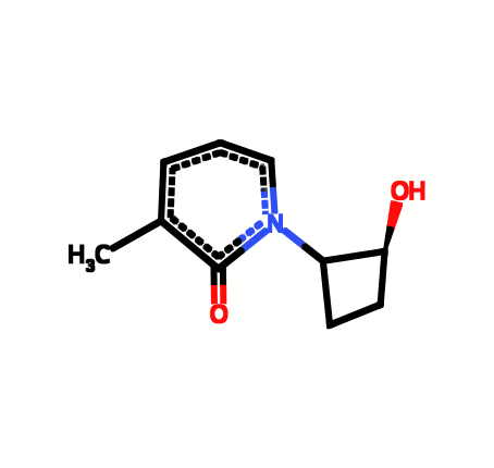 Cc1cccn(C2CC[C@@H]2O)c1=O